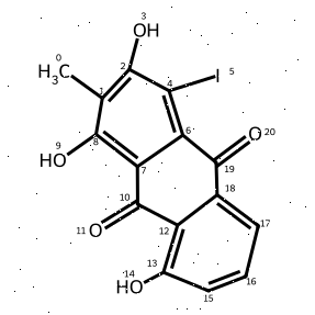 Cc1c(O)c(I)c2c(c1O)C(=O)c1c(O)cccc1C2=O